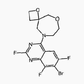 Fc1nc(N2CCOCC3(CCO3)C2)c2cc(F)c(Br)c(F)c2n1